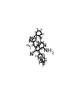 CC[C@H](c1cn(-c2ccccc2F)nn1)c1c(C#N)c(-c2cnc(C(F)(F)F)nc2)c2c(N)ncnn12